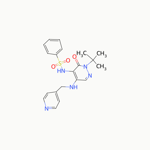 CC(C)(C)n1ncc(NCc2ccncc2)c(NS(=O)(=O)c2ccccc2)c1=O